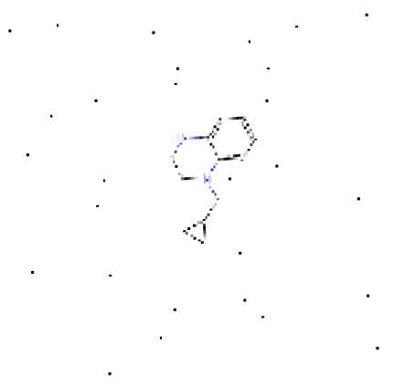 c1ccc2c(c1)NCCN2CC1CC1